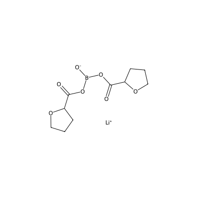 O=C(OB([O-])OC(=O)C1CCCO1)C1CCCO1.[Li+]